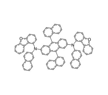 c1ccc2cc(N(c3ccc4c(-c5cccc6ccccc56)c5cc(N(c6ccc7ccccc7c6)c6cccc7oc8ccccc8c67)ccc5c(-c5cccc6ccccc56)c4c3)c3cccc4oc5ccccc5c34)ccc2c1